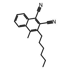 CCCCCCc1c(C#N)c(C#N)c2ccccc2c1C